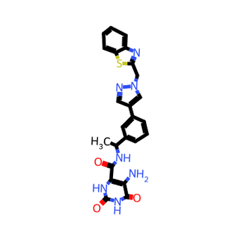 CC(NC(=O)c1[nH]c(=O)[nH]c(=O)c1N)c1cccc(-c2cnn(Cc3nc4ccccc4s3)c2)c1